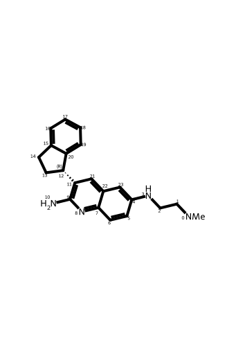 CNCCNc1ccc2nc(N)c([C@@H]3CCc4ccccc43)cc2c1